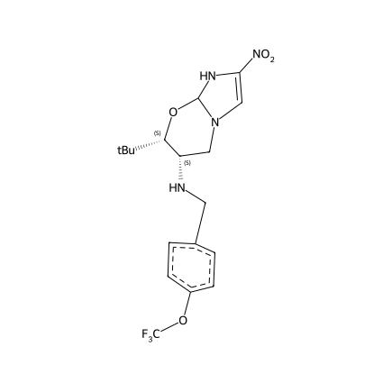 CC(C)(C)[C@@H]1OC2NC([N+](=O)[O-])=CN2C[C@@H]1NCc1ccc(OC(F)(F)F)cc1